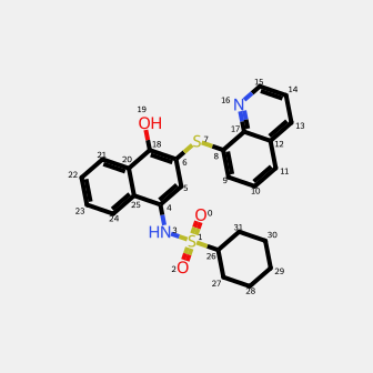 O=S(=O)(Nc1cc(Sc2cccc3cccnc23)c(O)c2ccccc12)C1CCCCC1